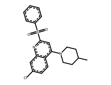 CC1CCN(c2cc(S(=O)(=O)c3ccccc3)nc3cc(Cl)ccc23)CC1